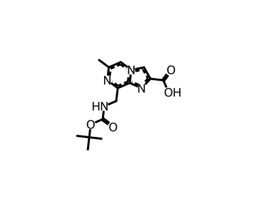 Cc1cn2cc(C(=O)O)nc2c(CNC(=O)OC(C)(C)C)n1